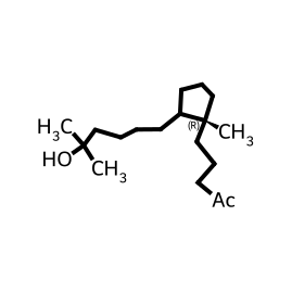 CC(=O)CCC[C@@]1(C)CCCC1CCCCC(C)(C)O